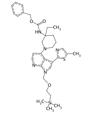 CCC1(NC(=O)OCc2ccccc2)CCCN(c2ccnc3c2c(-c2ncc(C)s2)cn3COCC[Si](C)(C)C)C1